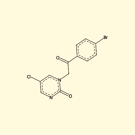 O=C(Cn1cc(Cl)cnc1=O)c1ccc(Br)cc1